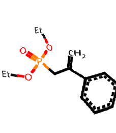 C=C(CP(=O)(OCC)OCC)c1ccccc1